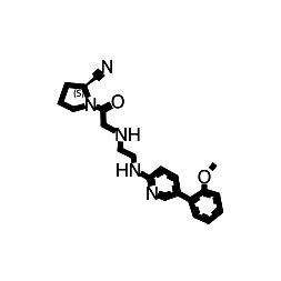 COc1ccccc1-c1ccc(NCCNCC(=O)N2CCC[C@H]2C#N)nc1